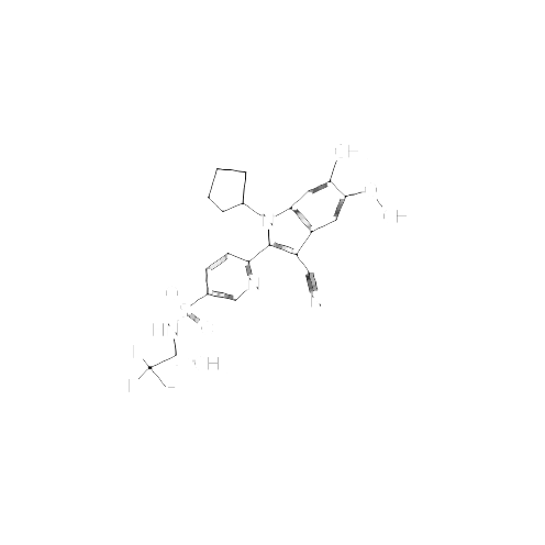 COc1cc2c(C#N)c(-c3ccc(S(=O)(=O)N[C@H](C)C(F)(F)F)cn3)n(C3CCCC3)c2cc1C